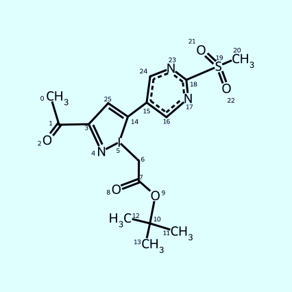 CC(=O)C1=NI(CC(=O)OC(C)(C)C)C(c2cnc(S(C)(=O)=O)nc2)=C1